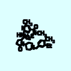 CCc1cc(CN2CCC(N3C(=O)CCC3C(=O)Nc3cc(C(=O)N(C)C)cc(C)n3)CC2)ccc1C